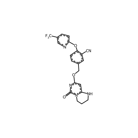 N#Cc1cc(COc2cc3n(c(=O)n2)CCCN3)ccc1Oc1ccc(C(F)(F)F)cn1